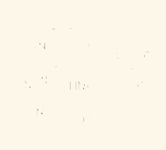 CC(NCC1CC1(Cl)Cl)c1ncnn1-c1ccccn1